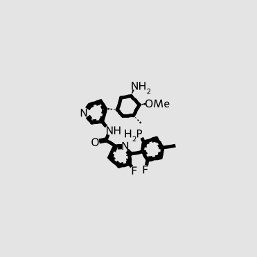 CO[C@@H]1[C@H](C)C[C@H](c2ccncc2NC(=O)c2ccc(F)c(-c3c(F)cc(C)cc3P)n2)C[C@@H]1N